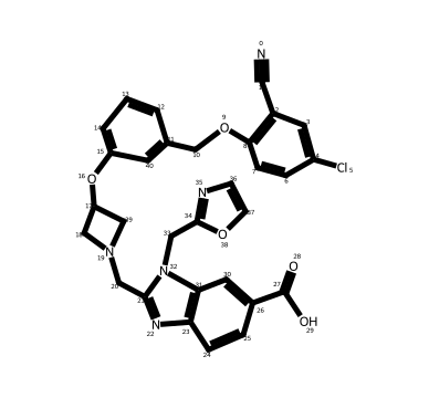 N#Cc1cc(Cl)ccc1OCc1cccc(OC2CN(Cc3nc4ccc(C(=O)O)cc4n3Cc3ncco3)C2)c1